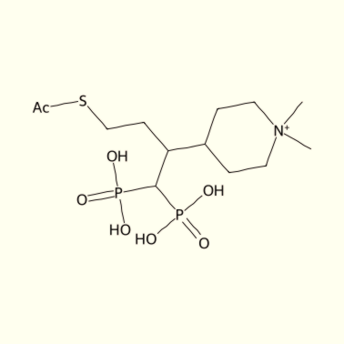 CC(=O)SCCC(C1CC[N+](C)(C)CC1)C(P(=O)(O)O)P(=O)(O)O